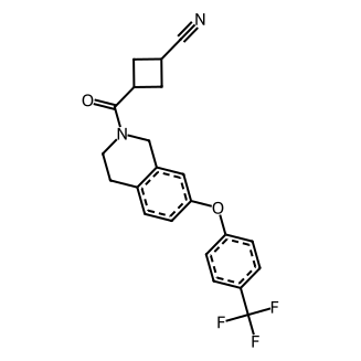 N#CC1CC(C(=O)N2CCc3ccc(Oc4ccc(C(F)(F)F)cc4)cc3C2)C1